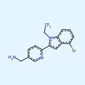 NCc1ccc(-c2cc3c(Br)cccc3n2CC(F)(F)F)nc1